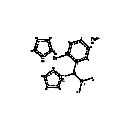 CN(C)C(c1ccccc1Br)[c-]1cccc1.[Fe+2].c1cc[cH-]c1